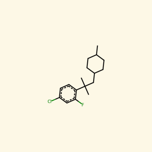 CC1CCC(CC(C)(C)c2ccc(Cl)cc2F)CC1